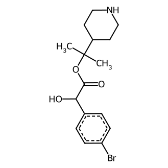 CC(C)(OC(=O)C(O)c1ccc(Br)cc1)C1CCNCC1